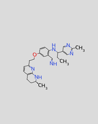 CCC(Nc1ccc(OCCc2ccc3c(n2)N[C@@H](C)CC3)cc1C=N)c1cnc(C)nc1